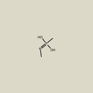 CN=P(C)(O)O